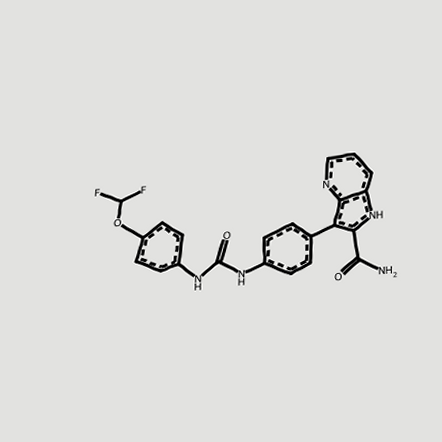 NC(=O)c1[nH]c2cccnc2c1-c1ccc(NC(=O)Nc2ccc(OC(F)F)cc2)cc1